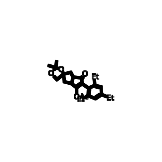 CCc1cc(CC)c(C2=C(OC(C)=O)C3CC4(COC(C)(C)O4)CC3C2=O)c(CC)c1